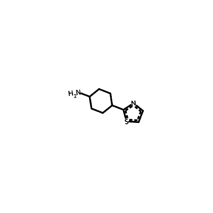 NC1CCC(c2nccs2)CC1